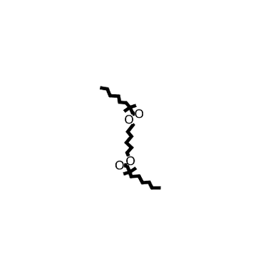 CCCCCCC(C)(C)C(=O)OCCCCCCOC(=O)C(C)(C)CCCCCC